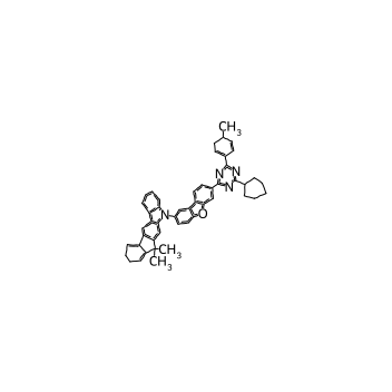 CC1C=CC(c2nc(-c3ccc4c(c3)oc3ccc(-n5c6ccccc6c6cc7c(cc65)C(C)(C)C5=CCCC=C57)cc34)nc(C3CCCCC3)n2)=CC1